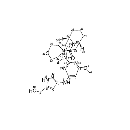 COc1cc(Nc2cc(CO)[nH]n2)nc(N(C)[C@H]2C[C@H]3CCC[C@@H](C2)N3C(=O)N2CCOCC2)n1